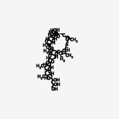 C=C1CC2CC[C@@]34OC5[C@H]6O[C@H](CC[C@@H]6O[C@H]6C(O3)[C@](O)(O[C@@H]56)[C@H]4O)CC(=O)O[C@@H]3[C@@H](C)[C@@H]4O[C@@H]5C[C@]6(C[C@@H]7OC8(C[C@H](C)[C@@H]9O[C@H]([C@@H](O)C[C@@H](O)CO)C[C@@H]9O8)C[C@H](C)[C@@H]7O6)OC5C[C@@H]4O[C@H]3CC3O[C@@H](CCC1O2)C[C@@H](C)C3=C